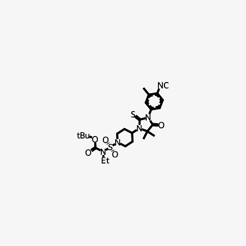 [C-]#[N+]c1ccc(N2C(=O)C(C)(C)N(C3CCN(S(=O)(=O)N(CC)C(=O)OC(C)(C)C)CC3)C2=S)cc1C